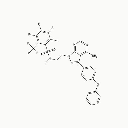 CN(CCn1nc(-c2ccc(Oc3ccccc3)cc2)c2c(N)ncnc21)S(=O)(=O)c1c(F)c(F)c(F)c(F)c1C(F)(F)F